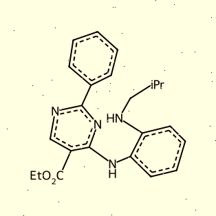 CCOC(=O)c1cnc(-c2ccccc2)nc1Nc1ccccc1NCC(C)C